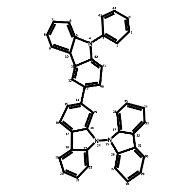 c1ccc(-n2c3ccccc3c3cc(-c4ccc5c6ccccc6n(-n6c7ccccc7c7ccccc76)c5c4)ccc32)cc1